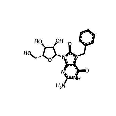 Nc1nc2c(c(=O)[nH]1)n(Cc1ccccc1)c(=O)n2[C@@H]1O[C@H](CO)[C@@H](O)[C@H]1O